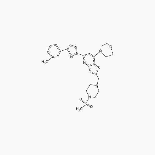 Cc1cccc(-c2ccn(-c3cc(N4CCOCC4)c4sc(CN5CCN(S(C)(=O)=O)CC5)cc4n3)n2)c1